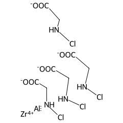 O=C([O-])CNCl.O=C([O-])CNCl.O=C([O-])CNCl.O=C([O-])CNCl.[Al].[Zr+4]